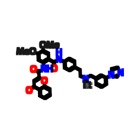 CCN(CCc1ccc(NC(=O)c2cc(OC)c(OC)cc2NC(=O)c2cc(=O)c3ccccc3o2)cc1)Cc1cccc(-n2ccnc2)c1